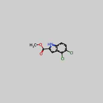 COC(=O)c1cc2c(Cl)c(Cl)ccc2[nH]1